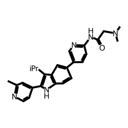 Cc1cc(-c2[nH]c3ccc(-c4ccc(NC(=O)CN(C)C)nc4)cc3c2C(C)C)ccn1